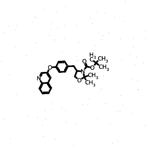 CC(C)(C)OC(=O)N1C(Cc2ccc(Oc3cnc4ccccc4c3)cc2)COC1(C)C